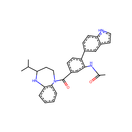 CC(=O)Nc1cc(C(=O)N2CCC(C(C)C)Nc3ccccc32)ccc1-c1ccc2[nH]ccc2c1